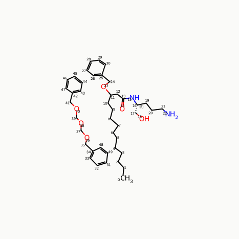 CCCCCCCCCCCC(CC(=O)N[C@@H](CO)CCCN)OCc1ccccc1.c1ccc(COCOCOCc2ccccc2)cc1